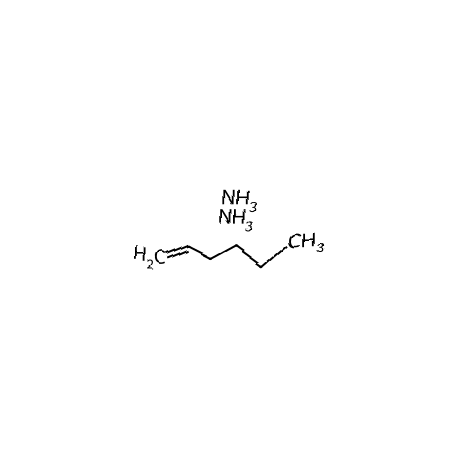 C=CCCCC.N.N